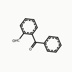 O=[C]c1ccccc1C(=O)c1ccccc1